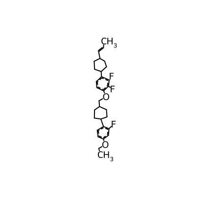 C/C=C/C1CCC(c2ccc(OCC3CCC(c4ccc(OCC)cc4F)CC3)c(F)c2F)CC1